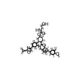 COc1ccc(C23CCC(CN(C(=O)C4CCC(OC(=O)NCCO)CC4)c4cccc(-c5coc(C6CC6)n5)c4)(CC2)CC3)cc1C